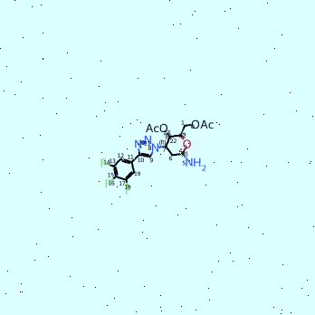 CC(=O)OC[C@H]1O[C@@H](N)C[C@@H](n2cc(-c3cc(F)c(F)c(F)c3)nn2)[C@H]1OC(C)=O